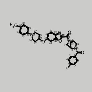 O=C(c1ccc(F)cc1)N1CC2CC1CN2C(=O)c1nc2ccc(OC3CCN(c4ccc(C(F)(F)F)cc4)CC3)cc2o1